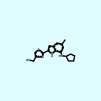 Cc1cc(NC2CCCC2)c2[nH]c(-c3nc(CO)cs3)cc2c1